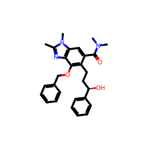 Cc1nc2c(OCc3ccccc3)c(CC[C@@H](O)c3ccccc3)c(C(=O)N(C)C)cc2n1C